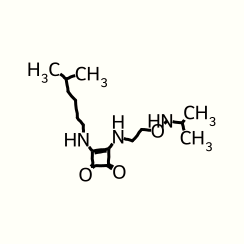 CC(C)CCCCNc1c(NCCONC(C)C)c(=O)c1=O